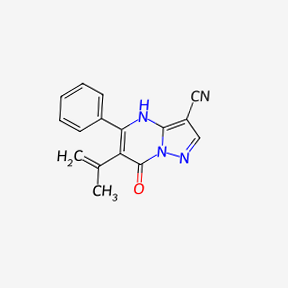 C=C(C)c1c(-c2ccccc2)[nH]c2c(C#N)cnn2c1=O